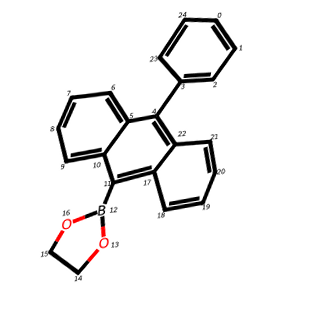 c1ccc(-c2c3ccccc3c(B3OCCO3)c3ccccc23)cc1